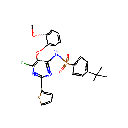 COc1ccccc1Oc1c(Cl)nc(-c2cccs2)nc1NS(=O)(=O)c1ccc(C(C)(C)C)cc1